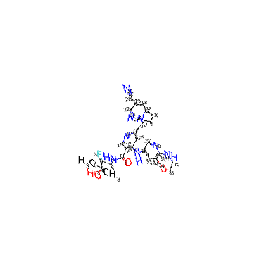 CC(C)(O)C(F)CNC(=O)c1cnc(-c2ccc3cc(C#N)cnn23)cc1Nc1cnc2c(c1)OCCN2